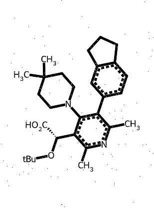 Cc1nc(C)c([C@H](OC(C)(C)C)C(=O)O)c(N2CCC(C)(C)CC2)c1-c1ccc2c(c1)CCC2